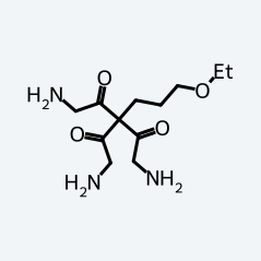 CCOCCCC(C(=O)CN)(C(=O)CN)C(=O)CN